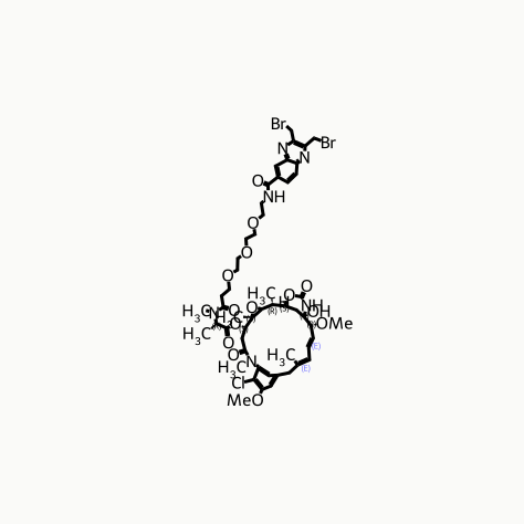 COc1cc2cc(c1Cl)N(C)C(=O)C[C@H](OC(=O)[C@@H](C)N(C)C(=O)CCOCCOCCOCCNC(=O)c1ccc3nc(CBr)c(CBr)nc3c1)[C@]1(C)OC1[C@H](C)[C@@H]1C[C@@](O)(NC(=O)O1)[C@H](OC)/C=C/C=C(\C)C2